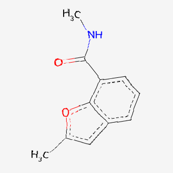 CNC(=O)c1cccc2cc(C)oc12